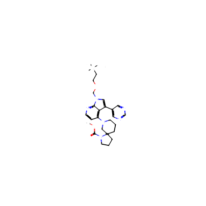 CC(C)(C)OC(=O)N1CCCC12CCCN(c1ccnc3c1c(-c1cncnc1)cn3COCC[Si](C)(C)C)C2